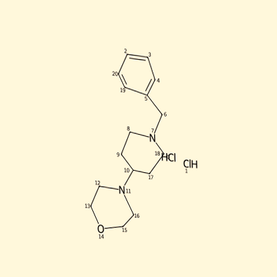 Cl.Cl.c1ccc(CN2CCC(N3CCOCC3)CC2)cc1